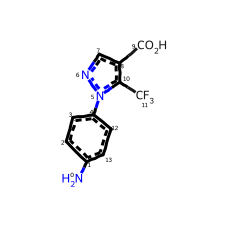 Nc1ccc(-n2ncc(C(=O)O)c2C(F)(F)F)cc1